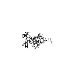 CCNc1cc([N+](=O)[O-])cc(Cl)c1OC(=O)c1ccccc1Nc1ccc(N)cc1[N+](=O)[O-]